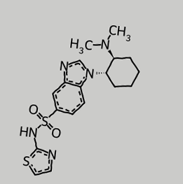 CN(C)[C@H]1CCCC[C@@H]1n1cnc2cc(S(=O)(=O)Nc3nccs3)ccc21